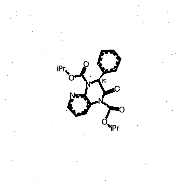 CC(C)OC(=O)N1C(=O)[C@H](c2ccccc2)N(C(=O)OC(C)C)c2ncccc21